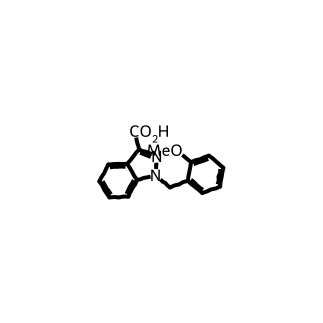 COc1ccccc1Cn1nc(C(=O)O)c2ccccc21